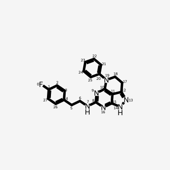 Fc1ccc(CCNc2nc3c4c(n[nH]c4n2)CCN3c2ccccc2)cc1